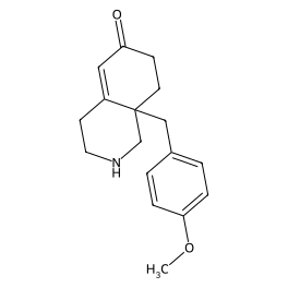 COc1ccc(CC23CCC(=O)C=C2CCNC3)cc1